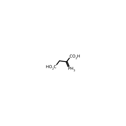 O=C(O)CC(=[PH3])C(=O)O